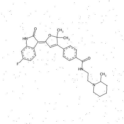 CC1CCCCN1CCNC(=O)c1ccc(C2=CC(=C3C(=O)Nc4cc(F)ccc43)OC2(C)C)cc1